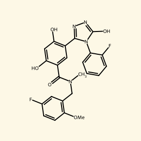 COc1ccc(F)cc1CN(C)C(=O)c1cc(-c2nnc(O)n2-c2ccccc2F)c(O)cc1O